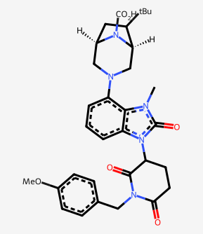 COc1ccc(CN2C(=O)CCC(n3c(=O)n(C)c4c(N5C[C@H]6CC(C(C)(C)C)[C@@H](C5)N6C(=O)O)cccc43)C2=O)cc1